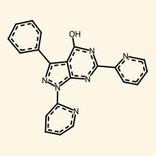 Oc1nc(-c2ccccn2)nc2c1c(-c1ccccc1)nn2-c1ccccn1